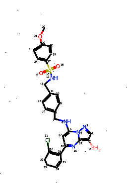 Bc1cnn2c(NCc3ccc(CNS(=O)(=O)c4ccc(OC)cc4)cc3)cc(C3=C(Cl)CCC=C3)nc12